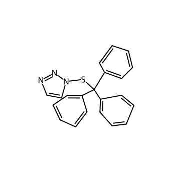 c1ccc(C(Sn2ccnn2)(c2ccccc2)c2ccccc2)cc1